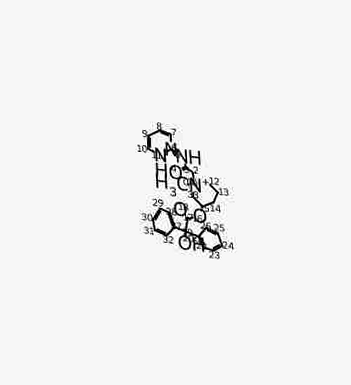 C[N@@+]1(CC(=O)NN2C=CC=CN2)CCCC(OC(=O)C(O)(c2ccccc2)c2ccccc2)C1